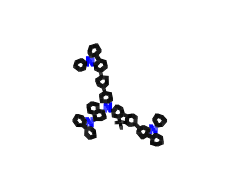 CC1(C)c2cc(-c3ccc4c5ccccc5n(-c5ccccc5)c4c3)ccc2-c2ccc(N(c3ccc(-c4ccc(-c5ccc6c7ccccc7n(-c7ccccc7)c6c5)cc4)cc3)c3ccc(-n4c5ccccc5c5ccccc54)c4ccccc34)cc21